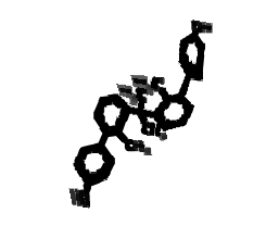 Cc1c(-c2ccc(O)cc2)cccc1C(C)(C)c1cccc(-c2ccc(O)cc2)c1C